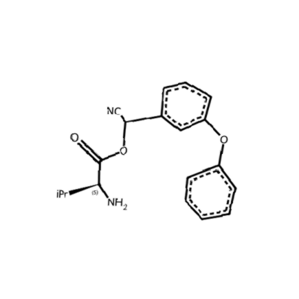 CC(C)[C@H](N)C(=O)OC(C#N)c1cccc(Oc2ccccc2)c1